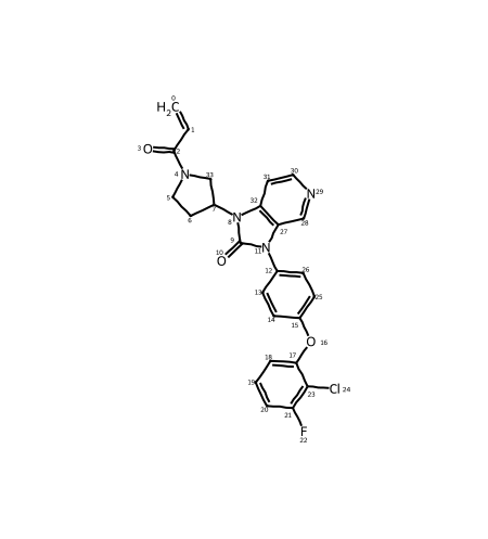 C=CC(=O)N1CCC(n2c(=O)n(-c3ccc(Oc4cccc(F)c4Cl)cc3)c3cnccc32)C1